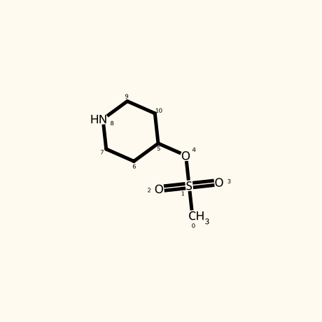 CS(=O)(=O)OC1CCNCC1